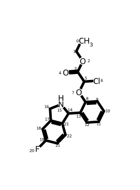 CCOC(=O)C(Cl)Oc1ccccc1C1NCc2cc(F)ccc21